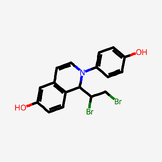 Oc1ccc(N2C=Cc3cc(O)ccc3C2C(Br)CBr)cc1